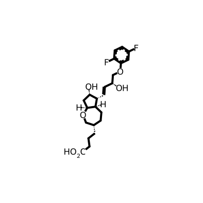 O=C(O)CCC[C@H]1CC[C@@H]2[C@@H](/C=C/[C@@H](O)COc3cc(F)ccc3F)[C@@H](O)C[C@@H]2OC1